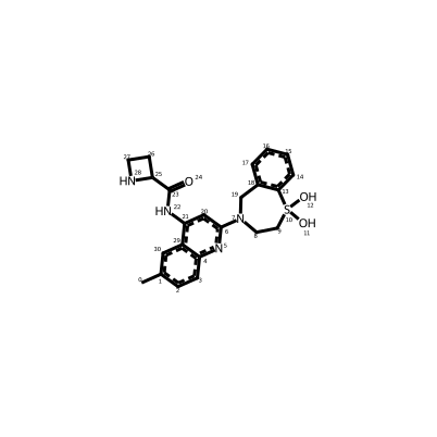 Cc1ccc2nc(N3CCS(O)(O)c4ccccc4C3)cc(NC(=O)C3CCN3)c2c1